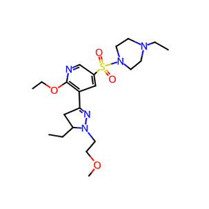 CCOc1ncc(S(=O)(=O)N2CCN(CC)CC2)cc1C1=NN(CCOC)C(CC)C1